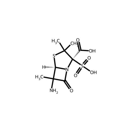 CC1(N)C(=O)N2[C@@H]1SC(C)(C)[C@@]2(C(=O)O)S(=O)(=O)O